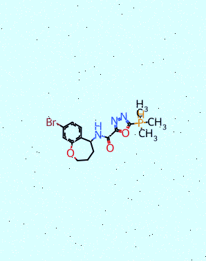 C[PH](C)(C)c1nnc(C(=O)NC2CCCOc3cc(Br)ccc32)o1